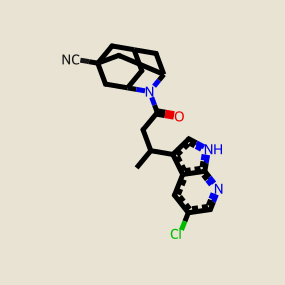 CC(CC(=O)N1C2CC3CC1CC(C#N)(C3)C2)c1c[nH]c2ncc(Cl)cc12